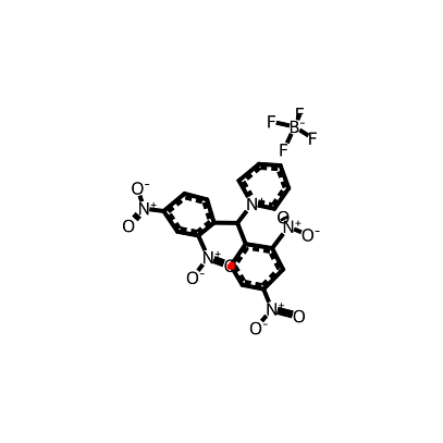 F[B-](F)(F)F.O=[N+]([O-])c1ccc(C(c2ccc([N+](=O)[O-])cc2[N+](=O)[O-])[n+]2ccccc2)c([N+](=O)[O-])c1